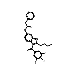 CCCCc1oc2cc(OC(=O)Cc3ccccc3)ccc2c1C(=O)c1cc(I)c(O)c(I)c1